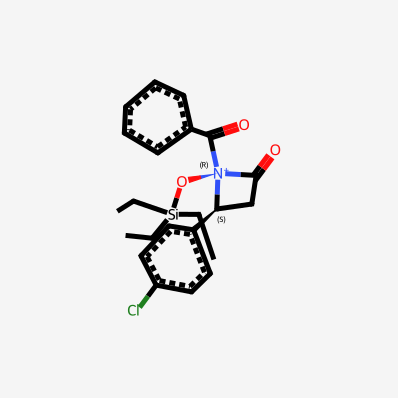 CC[Si](CC)(CC)O[N@@+]1(C(=O)c2ccccc2)C(=O)C[C@H]1c1ccc(Cl)cc1